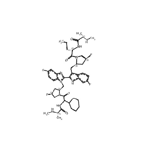 CCC[C@H](NC(=O)[C@H](C)NC)C(=O)N1C[C@@H](F)C[C@H]1Cc1c(-c2nc3cc(F)ccc3n2C[C@@H]2C[C@H](F)CN2C(=O)C(NC(=O)[C@H](C)NC)C2CCCCC2)[nH]c2cc(F)ccc12